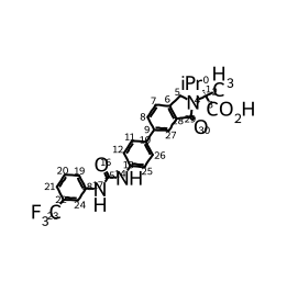 CC(C)[C@](C)(C(=O)O)N1Cc2ccc(-c3ccc(NC(=O)Nc4cccc(C(F)(F)F)c4)cc3)cc2C1=O